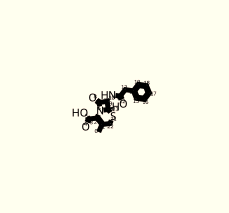 CC1=C(C(=O)O)N2C(=O)[C@@H](NC(=O)Cc3ccccc3)[C@H]2SC1